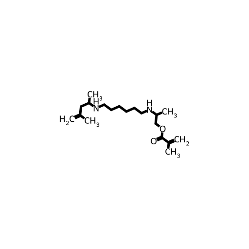 C=C(C)CC(C)NCCCCCCNC(C)COC(=O)C(=C)C